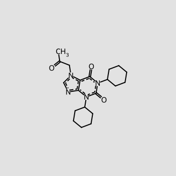 CC(=O)Cn1cnc2c1c(=O)n(C1CCCCC1)c(=O)n2C1CCCCC1